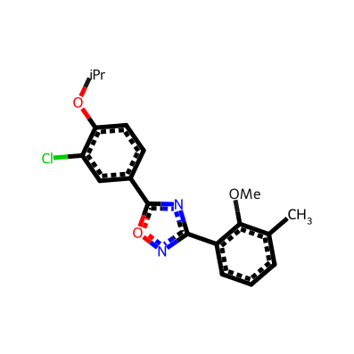 COc1c(C)cccc1-c1noc(-c2ccc(OC(C)C)c(Cl)c2)n1